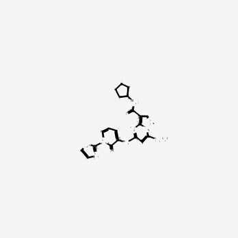 CNc1cc(Nc2cccn(-c3ncco3)c2=O)nc2c(C(=O)NC3CCCC3)cnn12